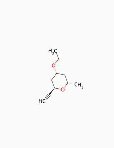 C#C[C@H]1C[C@H](OCC)C[C@H](C)O1